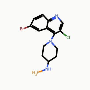 PNC1CCN(c2c(Cl)cnc3ccc(Br)cc23)CC1